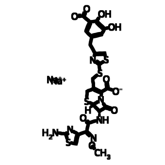 CON=C(C(=O)N[C@@H]1C(=O)N2C(C(=O)[O-])=C(CSc3nc(Cc4cc(O)c(O)c(C(=O)[O-])c4)cs3)CS[C@@H]12)c1csc(N)n1.[Na+].[Na+]